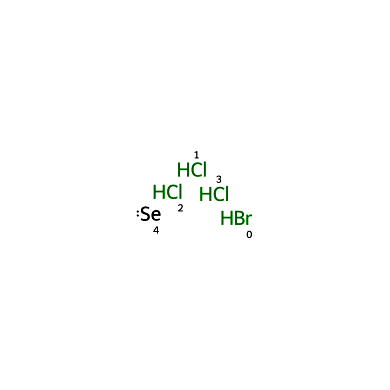 Br.Cl.Cl.Cl.[Se]